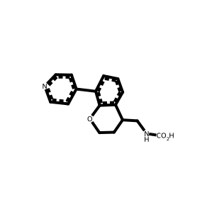 O=C(O)NCC1CCOc2c(-c3ccncc3)cccc21